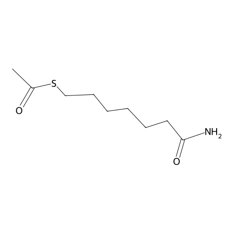 CC(=O)SCCCCCCC(N)=O